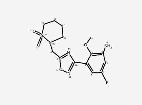 COc1c(N)cc(F)cc1-c1noc(CN2CCCCS2(=O)=O)n1